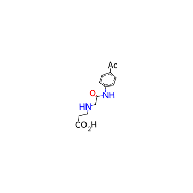 CC(=O)c1ccc(NC(=O)CNCCC(=O)O)cc1